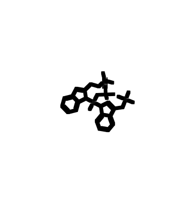 C[SiH](C)CCC1=Cc2ccccc2C1[Si](C)(CC(C)(C)C)C1C=C(C[Si](C)(C)C)c2ccccc21